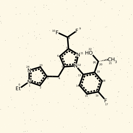 CCn1cc(Cc2cc(C(F)F)nn2-c2ccc(F)cc2[C@@H](C)O)cn1